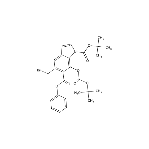 CC(C)(C)OC(=O)Oc1c(C(=O)Oc2ccccc2)c(CBr)cc2ccn(C(=O)OC(C)(C)C)c12